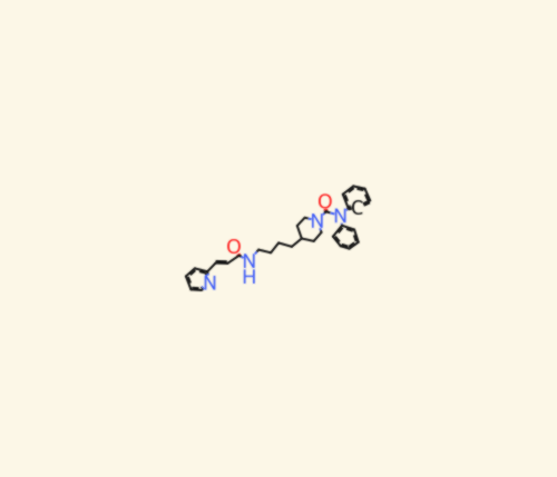 O=C(C=Cc1ccccn1)NCCCCC1CCN(C(=O)N(c2ccccc2)c2ccccc2)CC1